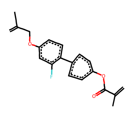 C=C(C)COc1ccc(-c2ccc(OC(=O)C(=C)C)cc2)c(F)c1